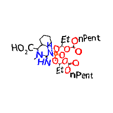 CCCCCOC(=O)OC(CC)OP(=O)(NC(=N)N(C)C(C(=O)O)C1CCCCC1)OC(CC)OC(=O)OCCCCC